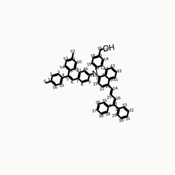 Cc1ccc(C(=Cc2ccc(N(c3ccc(CO)cc3)c3ccc(/C=C/C=C(c4ccccc4)c4ccccc4)c4ccccc34)cc2)c2ccc(C)cc2)cc1